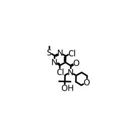 CSc1nc(Cl)c(C(=O)N(CC(C)(C)O)C2CCOCC2)c(Cl)n1